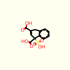 O=C(O)C1=CC(C(=O)O)(S(=O)(=O)O)c2ccccc2C1